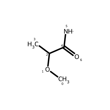 COC(C)C([NH])=O